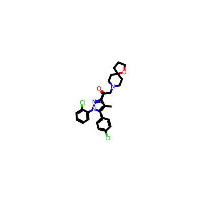 Cc1c(C(=O)CN2CCC3(CCCO3)CC2)nn(-c2ccccc2Cl)c1-c1ccc(Cl)cc1